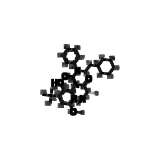 COc1cc(N(C(=O)[C@H](C)N)C(=O)N(CCC2CCCCC2)c2ccccc2)c(O)c(C(C)(C)C)c1